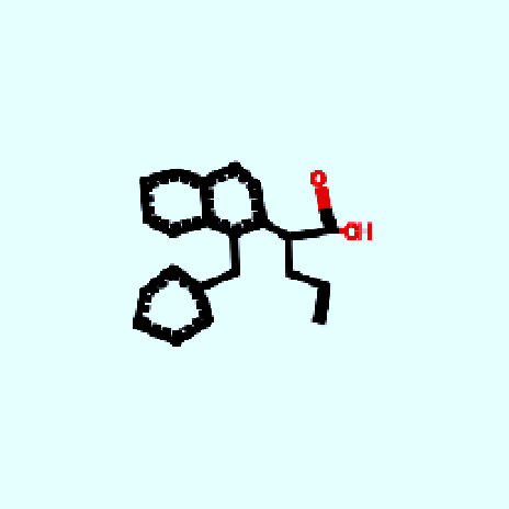 C=CCC(C(=O)O)c1ccc2ccccc2c1Cc1ccccc1